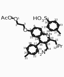 CC(=O)OOCCOc1ccc2nc(CC(C)C)c(CN)c(-c3ccc(C)cc3)c2c1.Cc1ccc(S(=O)(=O)O)cc1